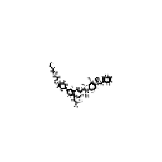 CCCCOCCOc1ccc(-c2ccc3c(c2)C=C(C(=O)Nc2ccc([S+]([O-])Cc4cccnc4)c(C)c2)CCN3CC(C)C)cc1